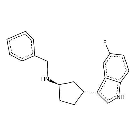 Fc1ccc2[nH]cc([C@@H]3CC[C@@H](NCc4ccccc4)C3)c2c1